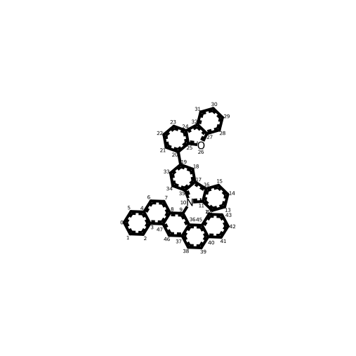 c1ccc2c(c1)ccc1c(-n3c4ccccc4c4cc(-c5cccc6c5oc5ccccc56)ccc43)c3c(ccc4ccccc43)cc12